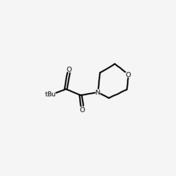 CC(C)(C)C(=O)C(=O)N1CCOCC1